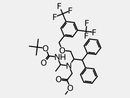 COC(=O)CN(C(C)NC(=O)OC(C)(C)C)C(COCc1cc(C(F)(F)F)cc(C(F)(F)F)c1)C(c1ccccc1)c1ccccc1